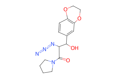 [N-]=[N+]=NC(C(=O)N1CCCC1)C(O)c1ccc2c(c1)OCCO2